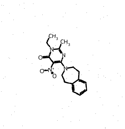 CCn1c(C)nc(N2CCc3ccccc3CC2)c([N+](=O)[O-])c1=O